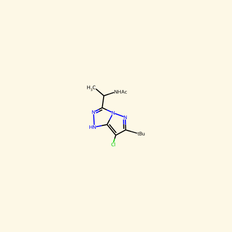 CC(=O)NC(C)c1n[nH]c2c(Cl)c(C(C)(C)C)nn12